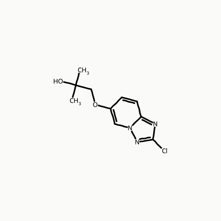 CC(C)(O)COc1ccc2nc(Cl)nn2c1